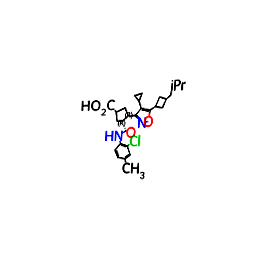 Cc1ccc(NC(=O)[C@@H]2CC(C(=O)O)C[C@H]2c2noc([C@H]3C[C@@H](CC(C)C)C3)c2C2CC2)c(Cl)c1